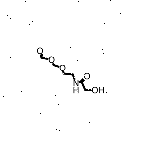 O=COCOCCNC(=O)CO